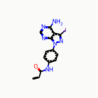 C=CC(=O)Nc1ccc(-n2nc(I)c3c(N)ncnc32)cc1